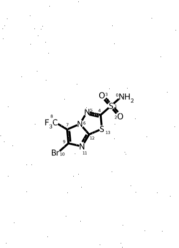 NS(=O)(=O)c1nn2c(C(F)(F)F)c(Br)nc2s1